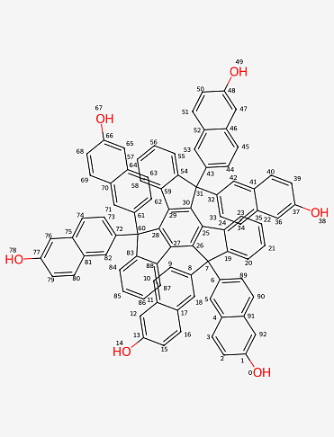 Oc1ccc2cc(C3(c4ccc5cc(O)ccc5c4)c4ccccc4-c4c3c3c(c5c4C(c4ccc6cc(O)ccc6c4)(c4ccc6cc(O)ccc6c4)c4ccccc4-5)C(c4ccc5cc(O)ccc5c4)(c4ccc5cc(O)ccc5c4)c4ccccc4-3)ccc2c1